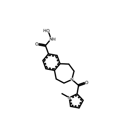 Cn1cccc1C(=O)N1CCc2ccc(C(=O)NO)cc2CC1